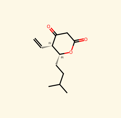 C=C[C@@H]1C(=O)CC(=O)O[C@@H]1CCC(C)C